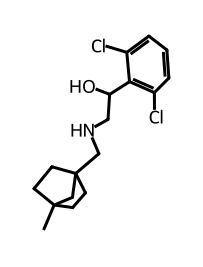 CC12CCC(CNCC(O)c3c(Cl)cccc3Cl)(CC1)C2